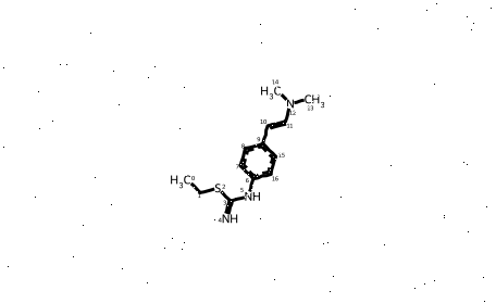 CCSC(=N)Nc1ccc(C=CN(C)C)cc1